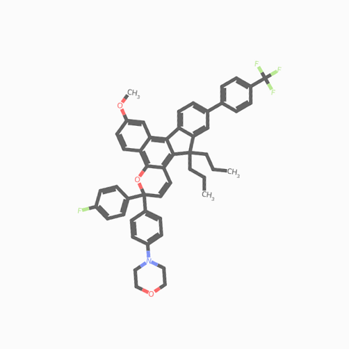 CCCC1(CCC)c2cc(-c3ccc(C(F)(F)F)cc3)ccc2-c2c1c1c(c3ccc(OC)cc23)OC(c2ccc(F)cc2)(c2ccc(N3CCOCC3)cc2)C=C1